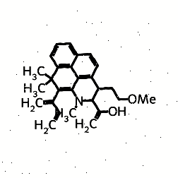 C=CC(=C)C1=C2c3c(ccc4cccc(c34)C1(C)C)C(CCOC)C(C(=C)O)N2C